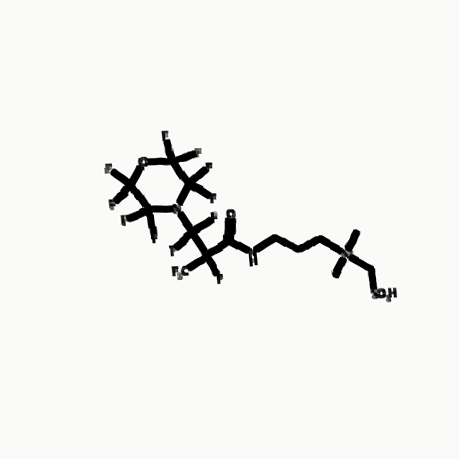 C[N+](C)(CCCNC(=O)C(F)(C(F)(F)F)C(F)(F)N1C(F)(F)C(F)(F)OC(F)(F)C1(F)F)CS(=O)(=O)O